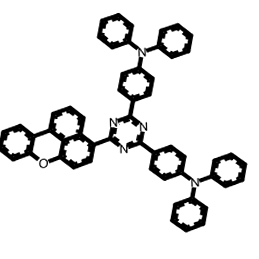 c1ccc(N(c2ccccc2)c2ccc(-c3nc(-c4ccc(N(c5ccccc5)c5ccccc5)cc4)nc(-c4ccc5c6c(cccc46)-c4ccccc4O5)n3)cc2)cc1